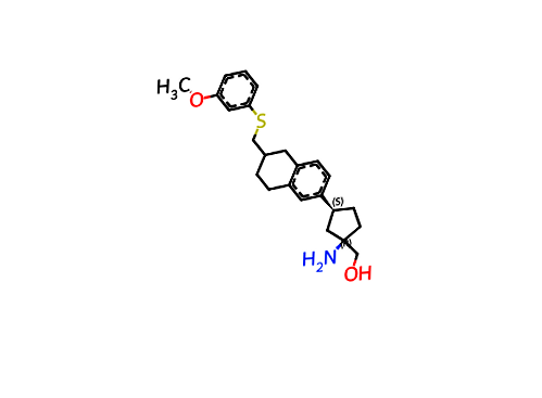 COc1cccc(SCC2CCc3cc([C@H]4CC[C@](N)(CO)C4)ccc3C2)c1